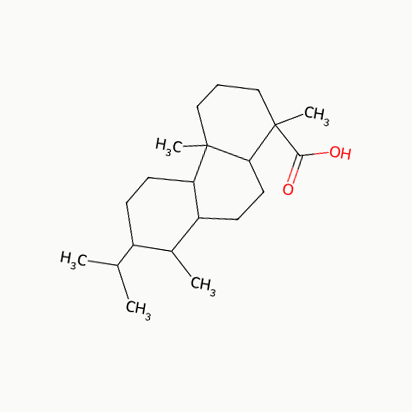 CC(C)C1CCC2C(CCC3C(C)(C(=O)O)CCCC23C)C1C